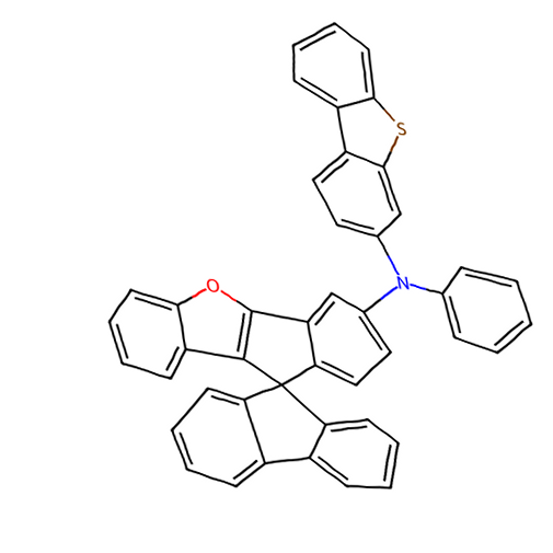 c1ccc(N(c2ccc3c(c2)-c2oc4ccccc4c2C32c3ccccc3-c3ccccc32)c2ccc3c(c2)sc2ccccc23)cc1